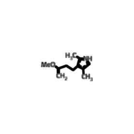 C=C(CCc1c(C)c[nH]c1C)OC